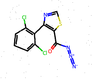 [N-]=[N+]=NC(=O)c1scnc1-c1c(Cl)cccc1Cl